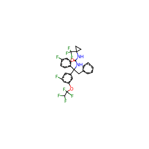 O=C(NC(Cc1ccccc1)(c1ccc(F)cc1)c1cc(F)cc(OC(F)(F)C(F)F)c1)NC1(C(F)(F)F)CC1